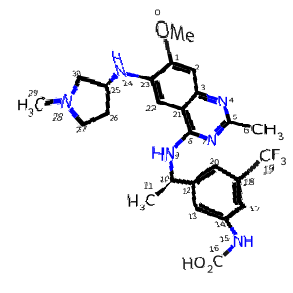 COc1cc2nc(C)nc(N[C@H](C)c3cc(NC(=O)O)cc(C(F)(F)F)c3)c2cc1N[C@H]1CCN(C)C1